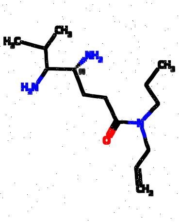 C=CCN(CCC)C(=O)CC[C@@H](N)C(N)C(C)C